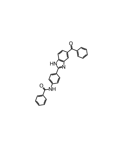 O=C(Nc1ccc(-c2nc3cc(C(=O)c4ccccc4)ccc3[nH]2)cc1)c1ccccc1